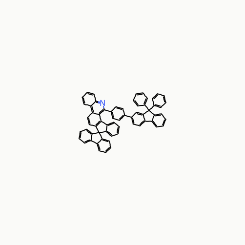 c1ccc(C2(c3ccccc3)c3ccccc3-c3ccc(-c4ccc(-c5nc6ccccc6c6ccc7c(c56)-c5ccccc5C75c6ccccc6-c6ccccc65)cc4)cc32)cc1